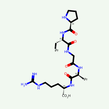 CC(C)C[C@H](NC(=O)[C@@H]1CCCN1)C(=O)NCC(=O)N[C@H](C(=O)N[C@@H](CCCNC(=N)N)C(=O)O)C(C)C